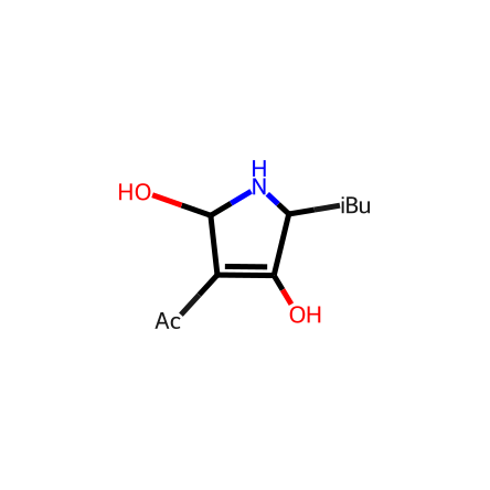 CCC(C)C1NC(O)C(C(C)=O)=C1O